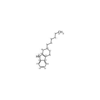 CCCCCCC1CCc2c([nH]c3ccccc23)C1